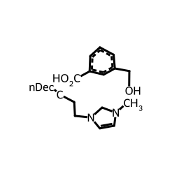 CCCCCCCCCCCCCN1C=CN(C)C1.O=C(O)c1cccc(CO)c1